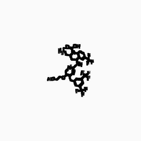 CC[C@@H]1C[C@H](Nc2ncc(OCCO)c(Cc3cc(C(F)(F)F)cc(C(F)(F)F)c3)n2)c2cc(C(F)(F)F)ccc2N1C(=O)O